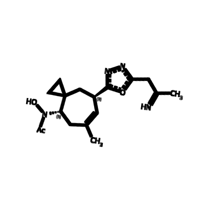 CC(=N)Cc1nnc([C@H]2C=C(C)C[C@H](N(O)C(C)=O)C3(CC3)C2)o1